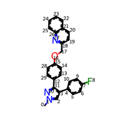 Cn1cc(-c2ccc(F)cc2)c(-c2ccc(OCc3ccc4ccccc4n3)cc2)n1